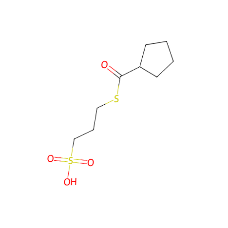 O=C(SCCCS(=O)(=O)O)C1CCCC1